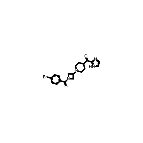 O=C(c1ncc[nH]1)C1CCN(C2CN(C(=O)c3ccc(Br)cc3)C2)CC1